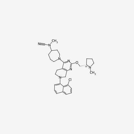 CN(C#N)C1CCCN(c2nc(OC[C@@H]3CCCN3C)nc3c2CCN(c2cccc4cccc(Cl)c24)C3)CC1